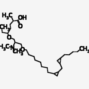 CCCCCC1CC1CC1CC1CCCCCCCCOCC(COC(CC)CCC(C)C(=O)O)N(C)C